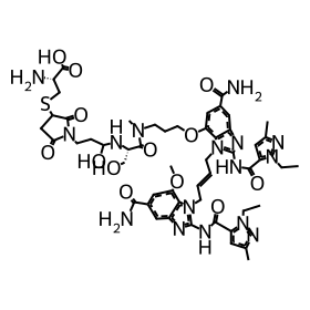 CCn1nc(C)cc1C(=O)Nc1nc2cc(C(N)=O)cc(OC)c2n1C/C=C/Cn1c(NC(=O)c2cc(C)nn2CC)nc2cc(C(N)=O)cc(OCCCN(C)C(=O)[C@H](CO)NC(O)CCN3C(=O)CC(SC[C@H](N)C(=O)O)C3=O)c21